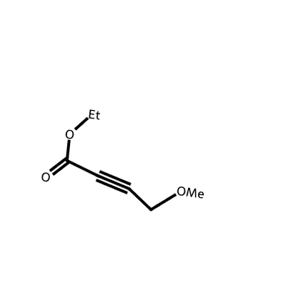 [CH2]OCC#CC(=O)OCC